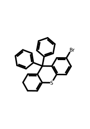 Brc1ccc2c(c1)C(c1ccccc1)(c1ccccc1)C1=CCCC=C1S2